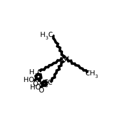 CCCCCCCCCCCC[N+](CCCCCCCCCCCC)(CCCCCCCCCCCC)CCCCCCCCCCCC.O=C(O)c1ccccc1Sc1ccccc1C(=O)O